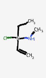 C=C[Si](Cl)(CC)NC